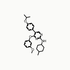 COc1cccc(Oc2nc(NC3CCC(C)CC3)ncc2-c2ccc(OC(C)C)cc2)c1